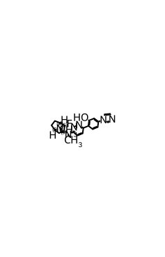 CN(c1ccc(-c2ccc(-n3ccnc3)cc2O)nn1)[C@H]1C[C@@H]2CC[C@H]([C@@H]1F)N2C